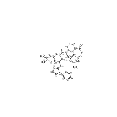 CC(=O)NC1CCC(=O)N2CCCC(C(=O)NC(CC(=O)OC(C)(C)C)C(=O)CSc3nnnn3-c3ccccc3)N2C1=O